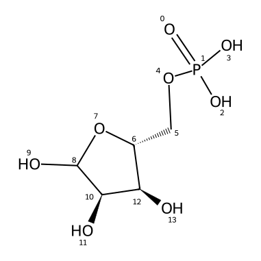 O=P(O)(O)OC[C@H]1OC(O)[C@H](O)[C@@H]1O